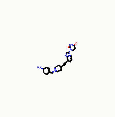 NC1CCC(CN2CCC(C#Cc3cccn4c(N5CCC(=O)NC5=O)cnc34)CC2)CC1